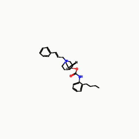 CCCCc1ccccc1NC(=O)O[C@H]1C[N+]2(CC=Cc3ccccc3)CCC1CC2